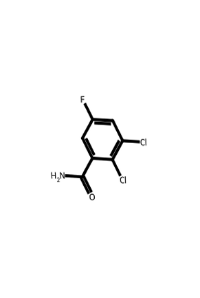 NC(=O)c1cc(F)cc(Cl)c1Cl